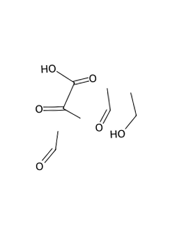 CC(=O)C(=O)O.CC=O.CC=O.CCO